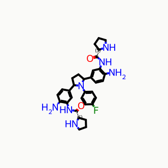 Nc1ccc(C2CCC(c3ccc(N)c(NC(=O)[C@@H]4CCCN4)c3)N2c2ccc(F)cc2)cc1NC(=O)[C@@H]1CCCN1